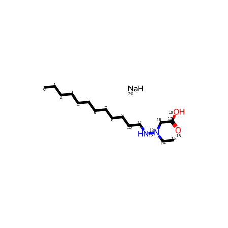 CCCCCCCCCCCCNN(CC)CC(=O)O.[NaH]